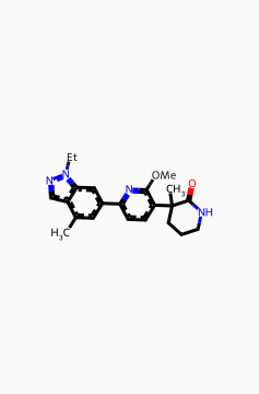 CCn1ncc2c(C)cc(-c3ccc(C4(C)CCCNC4=O)c(OC)n3)cc21